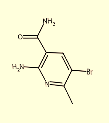 Cc1nc(N)c(C(N)=O)cc1Br